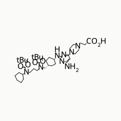 CC(C)(C)OC(=O)N(CCCN(C(=O)OC(C)(C)C)C1CCCCC1)C[C@H]1CC[C@@H](Nc2nc(N)cc(N3CCN(CCC(=O)O)CC3)n2)CC1